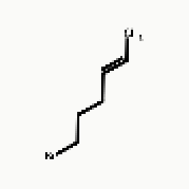 CC=CCCCBr